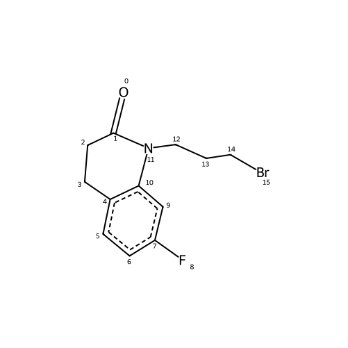 O=C1CCc2ccc(F)cc2N1CCCBr